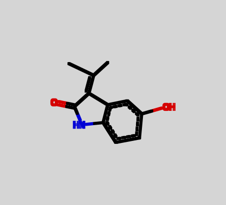 CC(C)=C1C(=O)Nc2ccc(O)cc21